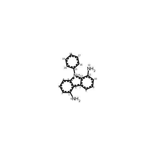 Nc1cccc2c1c1cccc(N)c1n2-c1ccccc1